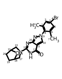 Cc1cc(Br)cc(C)c1-n1cc2c(=O)[nH]c(N3CC4CCC(C3)O4)nc2n1